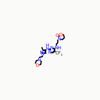 Cc1nn(CCN2CCOCC2)cc1Nc1ncc(C(F)(F)F)c(NCCCN2CCCOC2=O)n1